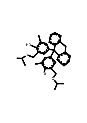 Cc1cc(C2(c3cc(C)c(O)c(COC(C)C)c3)c3ccccc3Cc3ccccc32)cc(COC(C)C)c1O